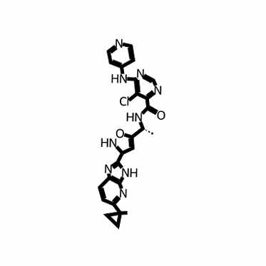 C[C@@H](NC(=O)c1ncnc(Nc2ccncc2)c1Cl)C1=CC(c2nc3ccc(C4(C)CC4)nc3[nH]2)NO1